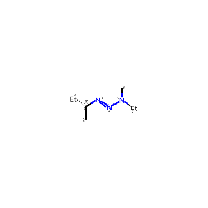 CC[C@@H](C)N=NN(C)CC